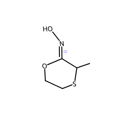 CC1SCCO/C1=N\O